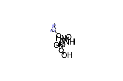 C/C=C\C(C/C=C/C)c1ccc([C@]2(CN3Cc4cc(O)ccc4C3=O)NC(=O)NC2=O)cc1